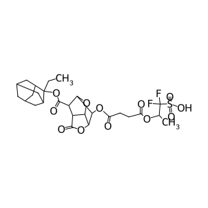 CCC1(OC(=O)C2C3OC4C(OC(=O)C42)C3OC(=O)CCC(=O)OC(C)C(F)(F)S(=O)(=O)O)C2CC3CC(C2)CC1C3